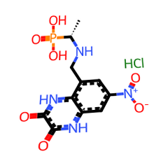 C[C@H](NCc1cc([N+](=O)[O-])cc2[nH]c(=O)c(=O)[nH]c12)P(=O)(O)O.Cl